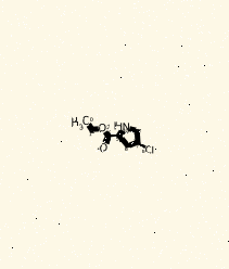 CCOC(=O)[C@@H]1C[C@H](Cl)CN1